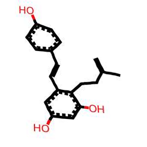 C=C(C)CCc1c(O)cc(O)cc1C=Cc1ccc(O)cc1